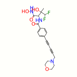 CC(O)(C(F)F)C(NC(=O)c1ccc(C#CC#CCN2CCOCC2)cc1)C(=O)NO